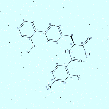 COc1ccccc1-c1ccc(C[C@H](NC(=O)c2ccc(N)cc2Cl)C(=O)O)cc1